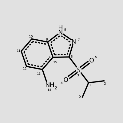 CC(C)S(=O)(=O)c1n[nH]c2cccc(N)c12